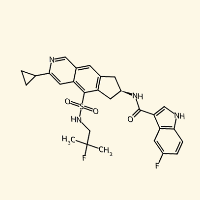 CC(C)(F)CNS(=O)(=O)c1c2c(cc3cnc(C4CC4)cc13)C[C@@H](NC(=O)c1c[nH]c3ccc(F)cc13)C2